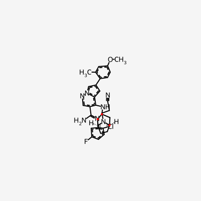 COc1ccc(-c2cc3c(NC4C[C@H]5CC[C@@H](C4)N5CCC#N)c(C(N)=Nc4cc(F)ccc4Cl)cnn3c2)c(C)c1